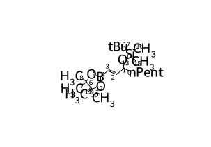 CCCCCC(C=CB1OC(C)(C)C(C)(C)O1)O[Si](C)(C)C(C)(C)C